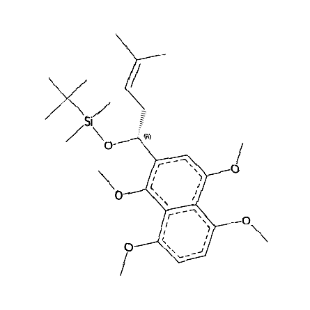 COc1ccc(OC)c2c(OC)c([C@@H](CC=C(C)C)O[Si](C)(C)C(C)(C)C)cc(OC)c12